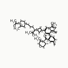 CC(=O)N1CCN(CCC[C@H](C(C)C)N2CC(c3cc(-c4ccc(F)cc4C(=O)N4CCOC[C@H]4C)c4c(F)nc(C)n4c3)C2)C[C@H]1C